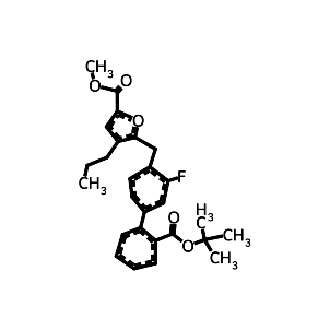 CCCc1cc(C(=O)OC)oc1Cc1ccc(-c2ccccc2C(=O)OC(C)(C)C)cc1F